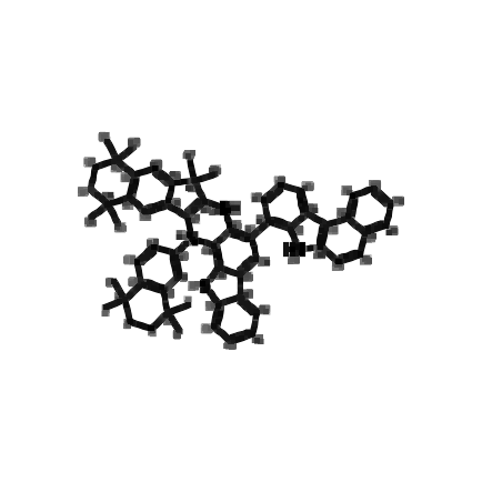 CC1(C)CCC(C)(C)c2cc(N3C4=C(Bc5c(-c6cccc7c6[nH]c6ccc8ccccc8c67)cc6c(sc7ccccc76)c53)C(C)(C)c3cc5c(cc34)C(C)(C)CCC5(C)C)ccc21